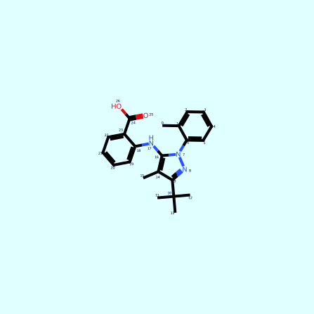 Cc1ccccc1-n1nc(C(C)(C)C)c(C)c1Nc1ccccc1C(=O)O